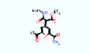 CCC(=O)C1=C/C(=C(\C(=O)NNC)C(=O)OC(F)(F)F)C=C(C(N)=O)O1